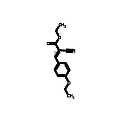 CCOC(=O)/C(C#N)=C/c1ccc(OCC)cc1